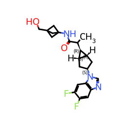 CC(C(=O)NC12CC(CO)(C1)C2)[C@H]1[C@@H]2C[C@@H](n3cnc4cc(F)c(F)cc43)C[C@@H]21